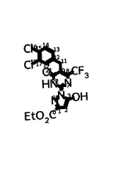 CCOC(=O)c1cc(O)n(-c2nc(C(F)(F)F)c(Cc3ccc(Cl)c(Cl)c3)c(=O)[nH]2)n1